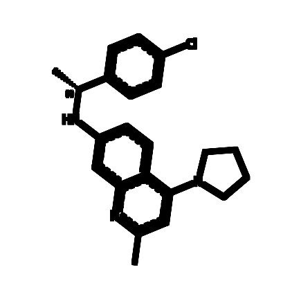 Cc1cc(N2CCCC2)c2ccc(N[C@H](C)c3ccc(Cl)cc3)cc2n1